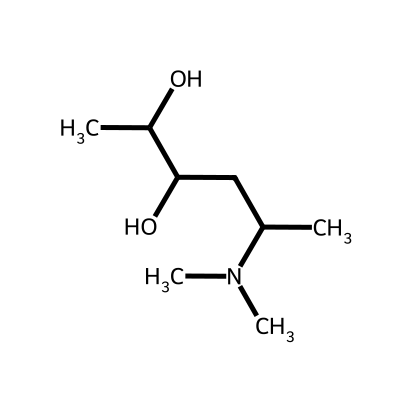 CC(O)C(O)CC(C)N(C)C